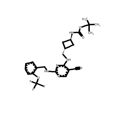 CC(C)(C)OC(=O)N[C@H]1C[C@H](CNc2nc(NCc3ccccc3OC(F)(F)F)ncc2C#N)C1